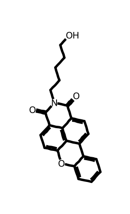 O=c1c2ccc3oc4ccccc4c4ccc(c(=O)n1CCCCCO)c2c34